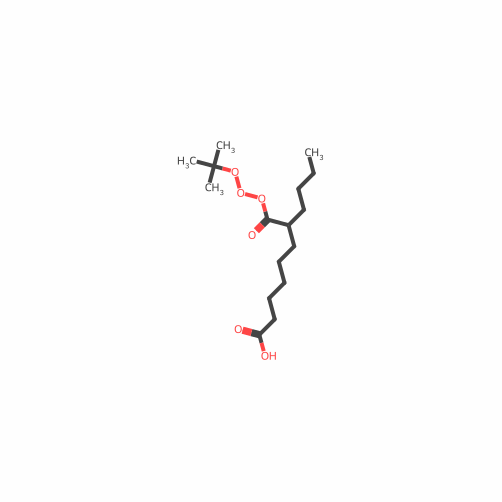 CCCCC(CCCCCC(=O)O)C(=O)OOOC(C)(C)C